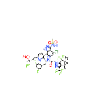 Cn1nc(NS(C)(=O)=O)c2c(Cl)ccc(-c3ccc(C#CC(C)(O)CF)nc3[C@H](Cc3cc(F)cc(F)c3)NC(=O)Cn3nc(C(F)(F)F)c4c3C(F)(F)[C@@H]3C[C@H]43)c21